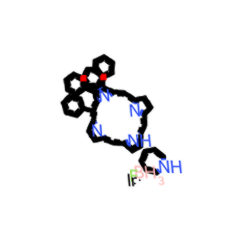 B.C1=CC=CNC=C1.C1=Cc2cc3c(-c4ccccc4)c(-c4ccccc4)c(c(-c4ccccc4)c4nc(cc5ccc(cc1n2)[nH]5)C=C4)n3-c1ccccc1.[F].[Ir]